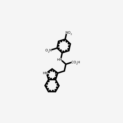 O=C(O)C(Cc1c[nH]c2ccccc12)Nc1ccc([N+](=O)[O-])cc1[N+](=O)[O-]